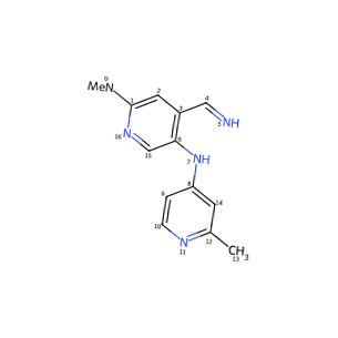 CNc1cc(C=N)c(Nc2ccnc(C)c2)cn1